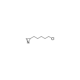 ClCCCCCC1C=N1